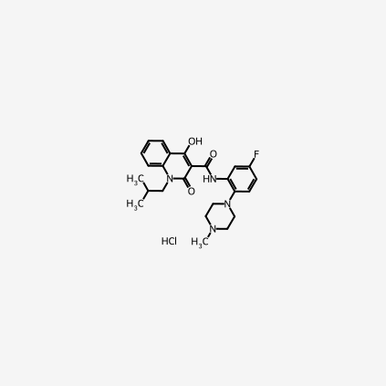 CC(C)Cn1c(=O)c(C(=O)Nc2cc(F)ccc2N2CCN(C)CC2)c(O)c2ccccc21.Cl